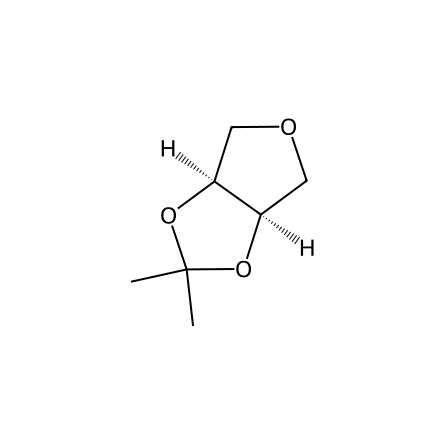 CC1(C)O[C@H]2COC[C@H]2O1